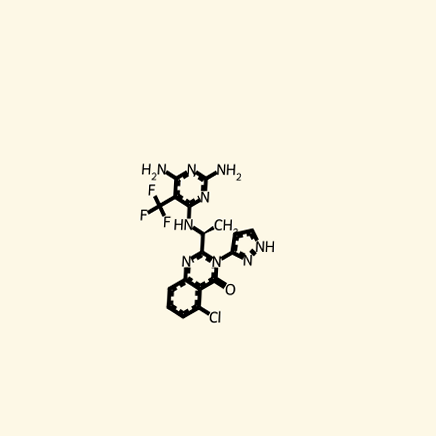 C[C@H](Nc1nc(N)nc(N)c1C(F)(F)F)c1nc2cccc(Cl)c2c(=O)n1-c1cc[nH]n1